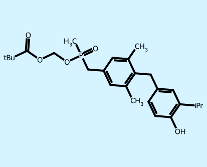 Cc1cc(CP(C)(=O)OCOC(=O)C(C)(C)C)cc(C)c1Cc1ccc(O)c(C(C)C)c1